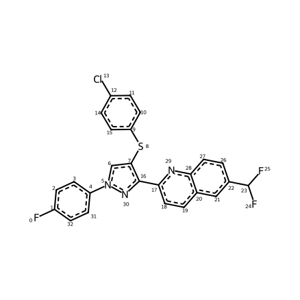 Fc1ccc(-n2cc(Sc3ccc(Cl)cc3)c(-c3ccc4cc(C(F)F)ccc4n3)n2)cc1